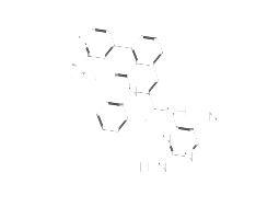 C[C@H](Nc1nc(N)ncc1C#N)c1cc2cccc(-c3ccnc(S(C)(=O)=O)c3)c2c(=O)n1-c1ccccc1